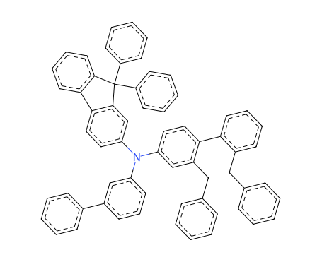 c1ccc(Cc2ccccc2-c2ccc(N(c3cccc(-c4ccccc4)c3)c3ccc4c(c3)C(c3ccccc3)(c3ccccc3)c3ccccc3-4)cc2Cc2ccccc2)cc1